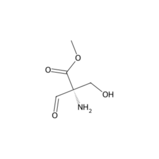 COC(=O)[C@](N)(C=O)CO